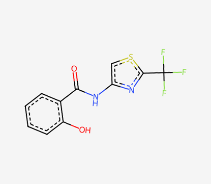 O=C(Nc1csc(C(F)(F)F)n1)c1ccccc1O